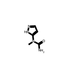 CN(C(N)=O)c1ccn[nH]1